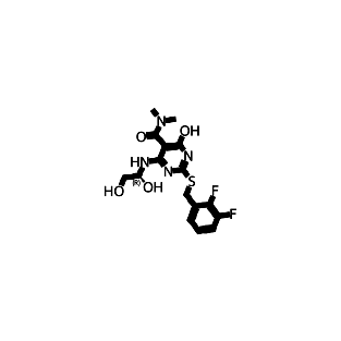 CN(C)C(=O)c1c(O)nc(SCc2cccc(F)c2F)nc1N[C@H](O)CO